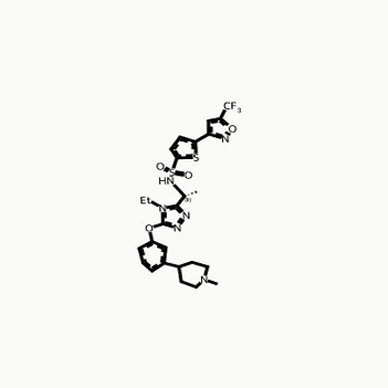 CCn1c(Oc2cccc(C3CCN(C)CC3)c2)nnc1[C@@H](C)NS(=O)(=O)c1ccc(-c2cc(C(F)(F)F)on2)s1